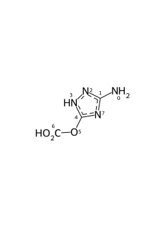 Nc1n[nH]c(OC(=O)O)n1